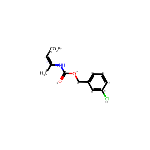 CCOC(=O)/C=C(/C)NC(=O)OCc1cccc(Cl)c1